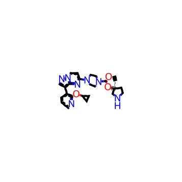 C#C[C@]1(OC(=O)N2CCN(c3ccn4ncc(-c5cccnc5OC5CC5)c4n3)CC2)CCNC1